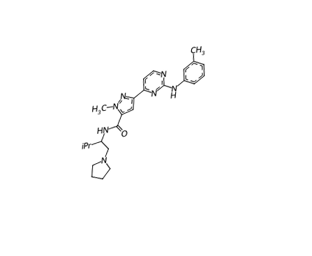 Cc1cccc(Nc2nccc(-c3cc(C(=O)NC(CN4CCCC4)C(C)C)n(C)n3)n2)c1